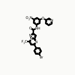 O=C(Nc1cc(Oc2cccnc2)cc([N+](=O)[O-])c1)c1cc2nc(-c3ccc(Br)cc3)cc(C(F)(F)F)n2n1